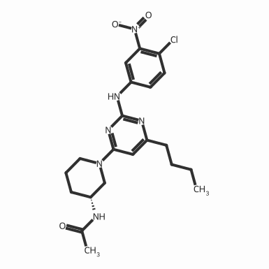 CCCCc1cc(N2CCC[C@@H](NC(C)=O)C2)nc(Nc2ccc(Cl)c([N+](=O)[O-])c2)n1